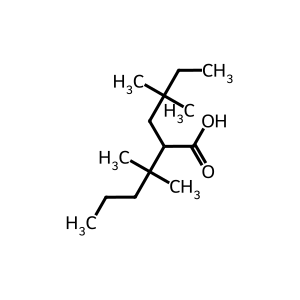 CCCC(C)(C)C(CC(C)(C)CC)C(=O)O